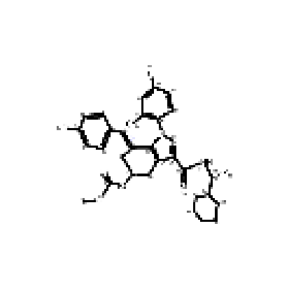 COC(=O)ON1C/C(=C\c2ccc(F)cc2)c2c(c(C(=O)N[C@H](C)C3CCCCC3)nn2-c2ccc(Cl)cc2Cl)C1